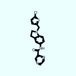 O=C(Nc1ccc2c(c1)CCN2Cc1ccc(Cl)s1)c1cnccn1